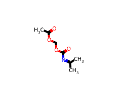 CC(=O)OCOC(=O)N=C(C)C